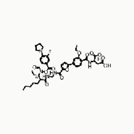 CCCCCC(C(=O)NCNC(=O)c1ccc(-c2ccc(C(=O)NC(CC(=O)O)C(=O)O)c(OCC)c2)o1)[C@@H](CC)N(C=O)OC(=O)c1ccc(N2CCCC2)c(F)c1